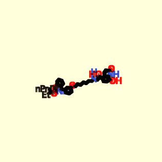 CCCC(CCC)[C@H](CC)OC(=O)NC(c1ccccc1)c1cccc(OCCCCCCCNC[C@H](O)c2ccc(O)c3[nH]c(=O)ccc23)c1